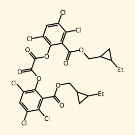 CCC1CC1COC(=O)c1c(Cl)c(Cl)cc(Cl)c1OC(=O)C(=O)Oc1c(Cl)cc(Cl)c(Cl)c1C(=O)OCC1CC1CC